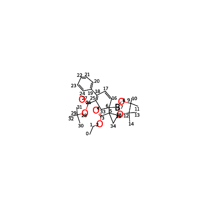 CCOC(=O)C1(C2(B3OC(C)(C)C(C)(C)O3)C=CC(c3ccccc3)=C(C(=O)OC(C)(C)C)C2)CC1